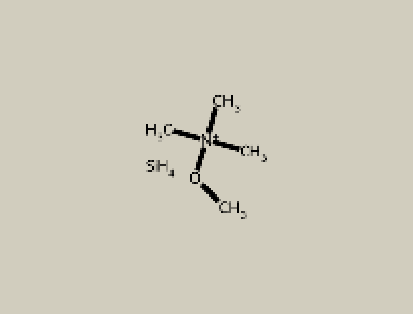 CO[N+](C)(C)C.[SiH4]